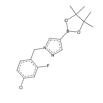 CC1(C)OB(c2cnn(Cc3ccc(Cl)cc3F)c2)OC1(C)C